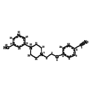 N#Cc1ccc(OCCN2CCN(c3cncc(O)c3)CC2)cc1